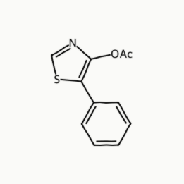 CC(=O)Oc1ncsc1-c1ccccc1